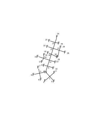 FC(F)(F)N(C(F)(F)F)C(F)(F)C(F)(C(F)(F)F)C(F)(F)C(F)(C(F)(F)F)C(F)(F)F